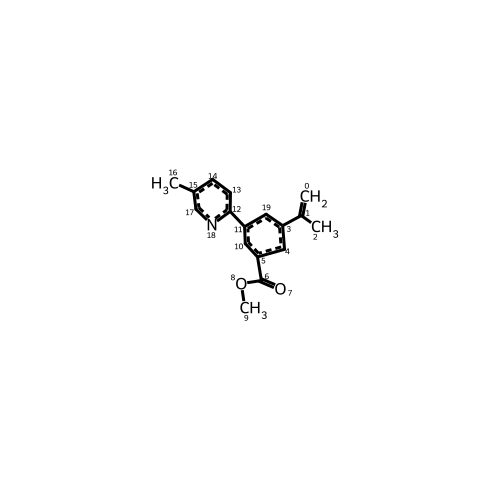 C=C(C)c1cc(C(=O)OC)cc(-c2ccc(C)cn2)c1